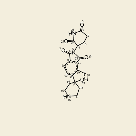 O=C1CCC(N2C(=O)c3ccc(C4(O)CCNCC4)c(F)c3C2=O)C(=O)N1